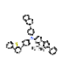 CC1(C)c2cc(-c3ccccc3)ccc2-c2ccc(N(c3ccc(-c4ccc5ccccc5c4)cc3)c3ccc(-c4cccc5c4sc4ccccc45)cc3)cc21